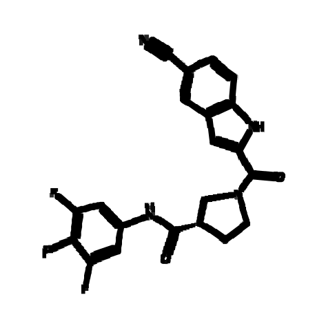 N#Cc1ccc2[nH]c(C(=O)N3CC[C@H](C(=O)Nc4cc(F)c(F)c(F)c4)C3)cc2c1